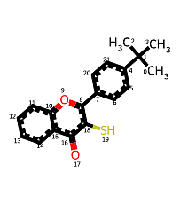 CC(C)(C)c1ccc(-c2oc3ccccc3c(=O)c2S)cc1